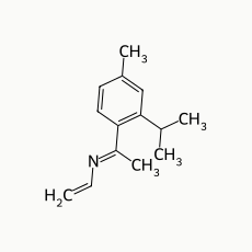 C=C/N=C(\C)c1ccc(C)cc1C(C)C